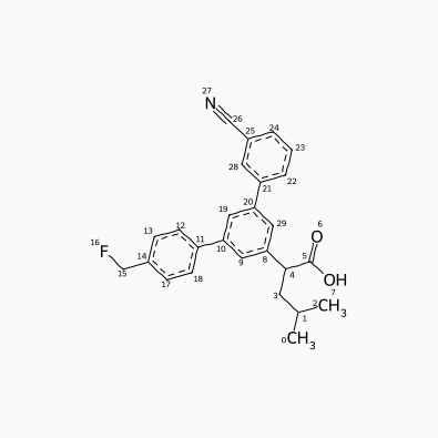 CC(C)CC(C(=O)O)c1cc(-c2ccc(CF)cc2)cc(-c2cccc(C#N)c2)c1